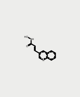 O=C(C=Cc1cnc2ccccc2c1)NO